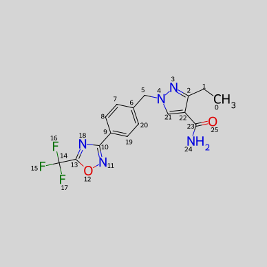 CCc1nn(Cc2ccc(-c3noc(C(F)(F)F)n3)cc2)cc1C(N)=O